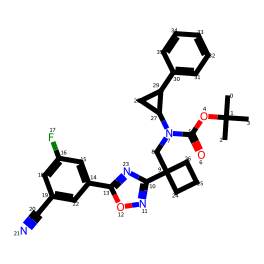 CC(C)(C)OC(=O)N(CC1(c2noc(-c3cc(F)cc(C#N)c3)n2)CCC1)C1CC1c1ccccc1